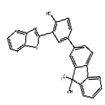 CC1(C)c2ccccc2-c2ccc(-c3ccc(S)c(-c4nc5ccccc5s4)c3)cc21